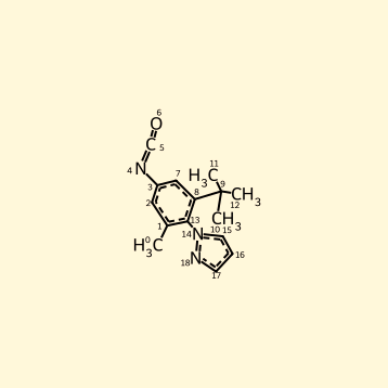 Cc1cc(N=C=O)cc(C(C)(C)C)c1-n1cccn1